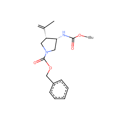 C=C(C)[C@H]1CN(C(=O)OCc2ccccc2)C[C@H]1NC(=O)OC(C)(C)C